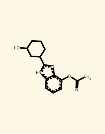 NC(=O)Oc1cccc2[nH]c(C3CCCC(O)C3)nc12